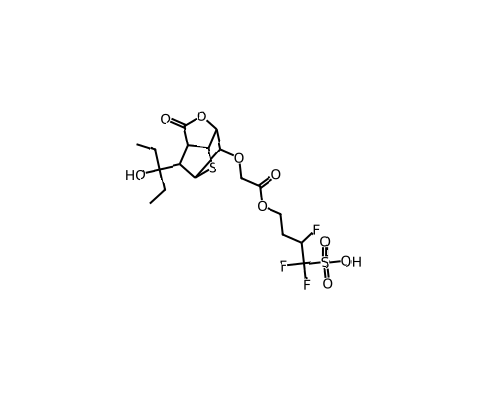 CCC(O)(CC)C1C2SC3C(OC(=O)C31)C2OCC(=O)OCCC(F)C(F)(F)S(=O)(=O)O